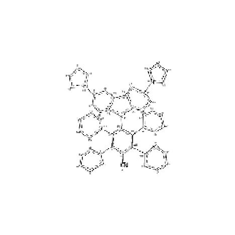 N#Cc1c(-c2ccccc2)c(-c2ccccc2)c(-n2c3ccc(-n4cccc4)cc3c3cc(-n4cccc4)ccc32)c(-c2ccccc2)c1-c1ccccc1